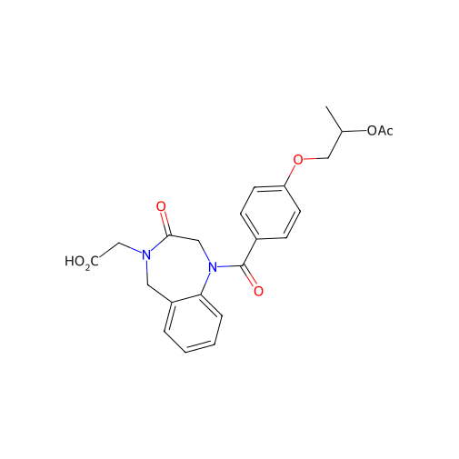 CC(=O)OC(C)COc1ccc(C(=O)N2CC(=O)N(CC(=O)O)Cc3ccccc32)cc1